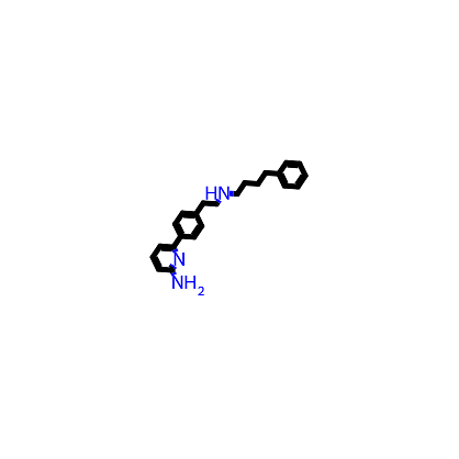 Nc1cccc(-c2ccc(CCNCCCCc3ccccc3)cc2)n1